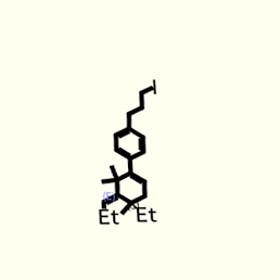 CC/C=C1/C(C)(C)C(c2ccc(CCCI)cc2)=CC[C@]1(C)CC